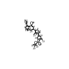 COc1cc(-c2cnn([C@@H]3C[C@@H](C)N(C(=O)OC(C)(C)C)C3)c2C)cn2ncc(C#N)c12